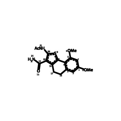 COc1cc2c(c(OC)c1)-c1sc(NC(C)=O)c(C(N)=O)c1CC2